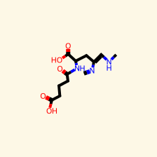 C=N/C(=C\NC)CC(NC(=O)CCCC(=O)O)C(=O)O